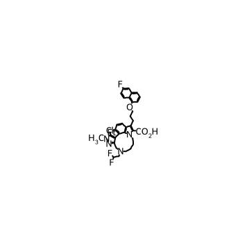 CCc1c2c(nn1C)CN(CC(F)F)CCCCn1c(C(=O)O)c(CCCOc3cccc4cc(F)ccc34)c3ccc(Cl)c-2c31